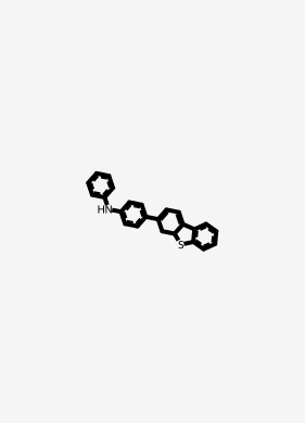 C1=C(c2ccc(Nc3ccccc3)cc2)CC2Sc3ccccc3C2=C1